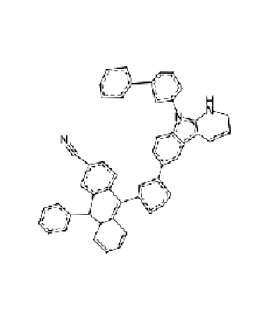 N#Cc1ccc2c(c1)C(c1ccccc1)C1C=CC=CC1=C2c1cccc(-c2ccc3c(c2)c2c(n3-c3cccc(-c4ccccc4)c3)NCC=C2)c1